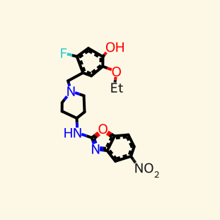 CCOc1cc(CN2CCC(Nc3nc4cc([N+](=O)[O-])ccc4o3)CC2)c(F)cc1O